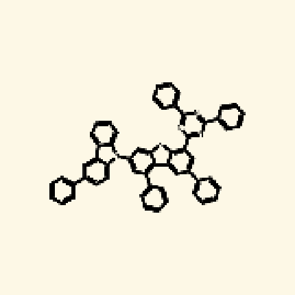 c1ccc(-c2cc(-c3nc(-c4ccccc4)nc(-c4ccccc4)n3)c3sc4cc(-n5c6ccccc6c6cc(-c7ccccc7)ccc65)cc(-c5ccccc5)c4c3c2)cc1